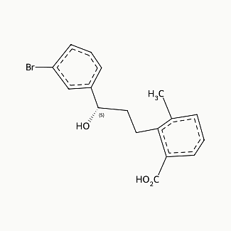 Cc1cccc(C(=O)O)c1CC[C@H](O)c1cccc(Br)c1